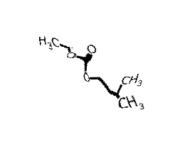 C[CH]OC(=O)OCCC(C)C